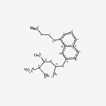 COCCOc1cccc2ccc(CC(CC(C=O)N(C(=O)O)C(C)(C)C)C(C)C)cc12